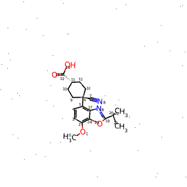 COc1ccc([C@]2(C#N)CC[C@H](C(=O)O)CC2)c2nc(C(C)C)oc12